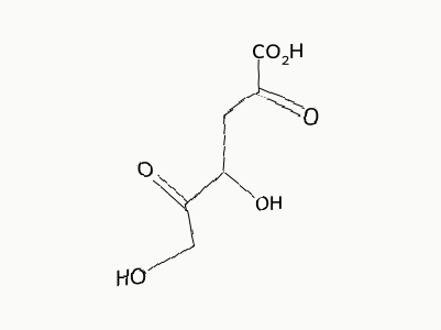 O=C(O)C(=O)CC(O)C(=O)CO